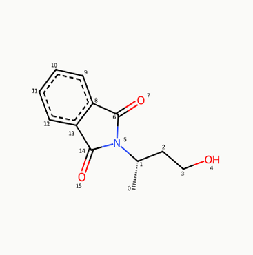 C[C@@H](CCO)N1C(=O)c2ccccc2C1=O